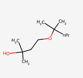 CCCC(C)(C)OCCC(C)(C)O